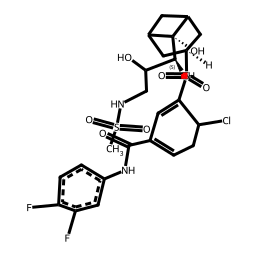 CS(=O)(=O)NCC(O)[C@H](O)[C@]1(O)C2CC1C[C@H](S(=O)(=O)C1=CC(C(=O)Nc3ccc(F)c(F)c3)=CCC1Cl)C2